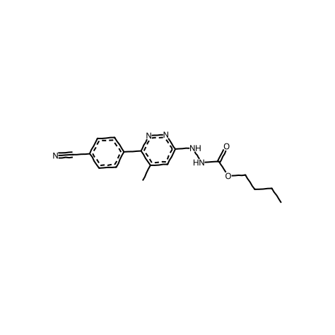 CCCCOC(=O)NNc1cc(C)c(-c2ccc(C#N)cc2)nn1